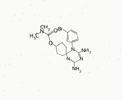 CN(C)C(=O)OC1CCC2(CC1)N=C(N)N=C(N)N2c1cccc(Br)c1